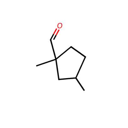 CC1CCC(C)(C=O)C1